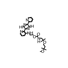 COC(C)(C)CCOC(C)(C)CNC(=O)OCCNc1cccnc1C1=NNC(c2ccccn2)=NN1